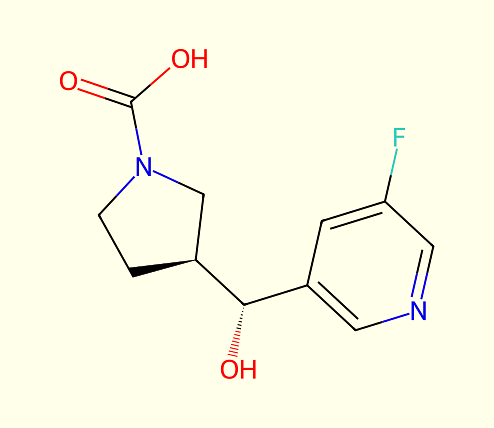 O=C(O)N1CC[C@H]([C@@H](O)c2cncc(F)c2)C1